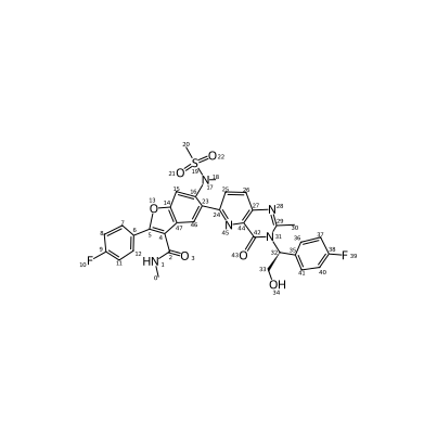 CNC(=O)c1c(-c2ccc(F)cc2)oc2cc(N(C)S(C)(=O)=O)c(-c3ccc4nc(C)n([C@H](CO)c5ccc(F)cc5)c(=O)c4n3)cc12